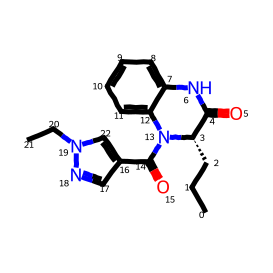 CCC[C@H]1C(=O)Nc2ccccc2N1C(=O)c1cnn(CC)c1